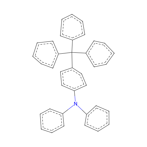 c1ccc(N(c2ccccc2)c2ccc(C(c3ccccc3)(c3ccccc3)c3ccccc3)cc2)cc1